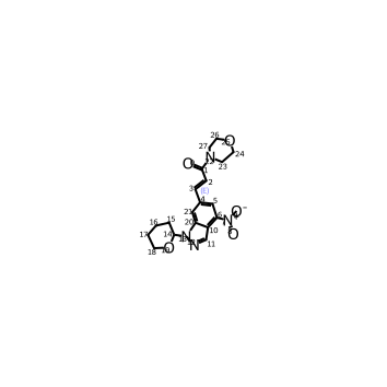 O=C(/C=C/c1cc([N+](=O)[O-])c2cnn(C3CCCCO3)c2c1)N1CCOCC1